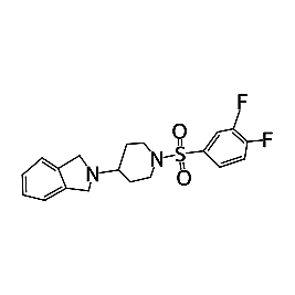 O=S(=O)(c1ccc(F)c(F)c1)N1CCC(N2Cc3ccccc3C2)CC1